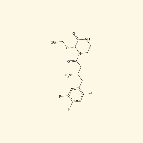 CC(C)(C)CO[C@@H]1C(=O)NCCN1C(=O)C[C@@H](N)Cc1cc(F)c(F)cc1F